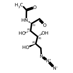 CC(=O)N[C@H](C=O)[C@@H](O)[C@H](O)[C@H](O)CN=[N+]=[N-]